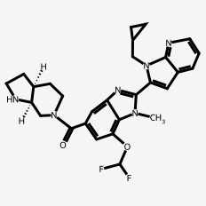 Cn1c(-c2cc3cccnc3n2CC2CC2)nc2cc(C(=O)N3CC[C@@H]4CCN[C@@H]4C3)cc(OC(F)F)c21